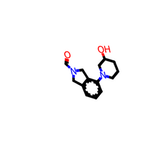 O=CN1Cc2cccc(N3CCCC(O)C3)c2C1